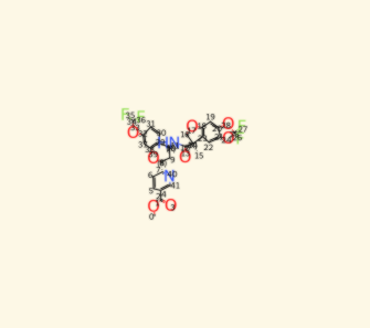 COC(=O)c1ccc([C@H]2C[C@@H](NC(=O)[C@@]3(C)COc4cc5c(cc43)OC(F)(F)O5)c3ccc(OC(F)F)cc3O2)nc1